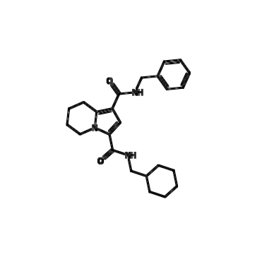 O=C(NCc1ccccc1)c1cc(C(=O)NCC2CCCCC2)n2c1CCCC2